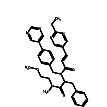 COCCN(C)C(=O)C(Cc1ccccc1)N(Cc1ccc(-c2cncnc2)cc1)C(=O)C=Cc1cnc(OC)nc1